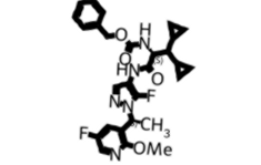 COc1ncc(F)cc1[C@H](C)n1ncc(NC(=O)[C@@H](NC(=O)OCc2ccccc2)C(C2CC2)C2CC2)c1F